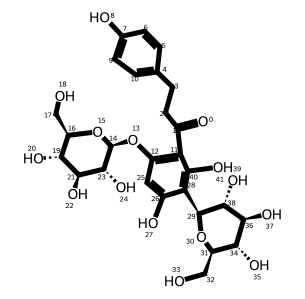 O=C(CCc1ccc(O)cc1)c1c(O[C@@H]2O[C@H](CO)[C@@H](O)[C@H](O)[C@H]2O)cc(O)c([C@@H]2O[C@H](CO)[C@@H](O)[C@H](O)[C@H]2O)c1O